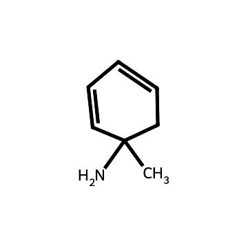 CC1(N)C=CC=CC1